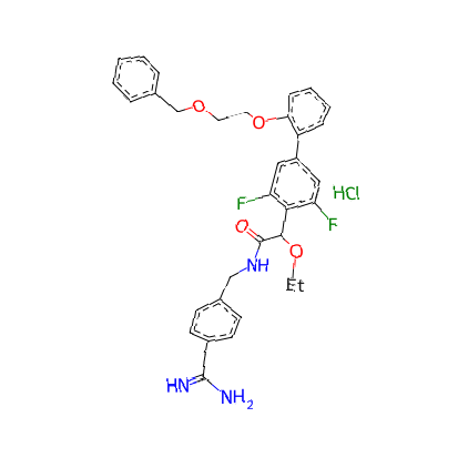 CCOC(C(=O)NCc1ccc(C(=N)N)cc1)c1c(F)cc(-c2ccccc2OCCOCc2ccccc2)cc1F.Cl